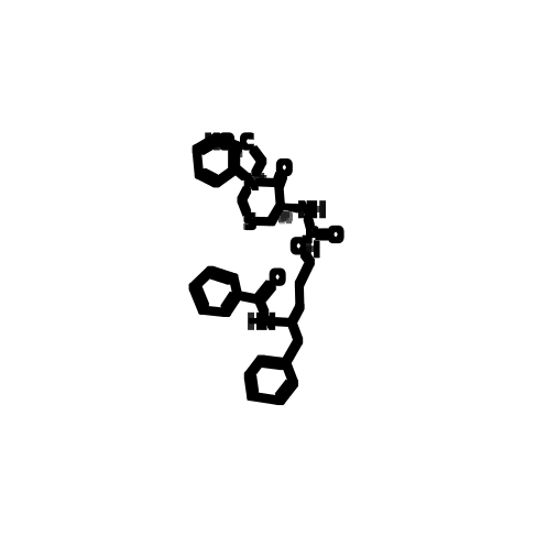 O=C(O)C[N+]1(c2ccccc2)CSC[C@H](N[PH](=O)OCCCC(Cc2ccccc2)NC(=O)c2ccccc2)C1=O